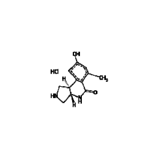 Cc1cc(O)cc2c1C(=O)N[C@@H]1CNC[C@@H]21.Cl